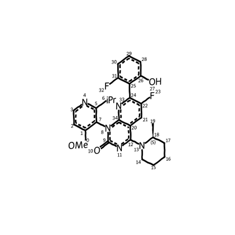 COc1ccnc(C(C)C)c1-n1c(=O)nc(N2CCCC[C@@H]2C)c2cc(F)c(-c3c(O)cccc3F)nc21